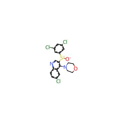 [O-][S+](c1cc(Cl)cc(Cl)c1)c1cnc2ccc(Cl)cc2c1N1CCOCC1